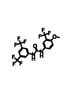 COc1ccc(NC(=O)Nc2cc(C(F)(F)F)cc(C(F)(F)F)c2)cc1C(F)(F)F